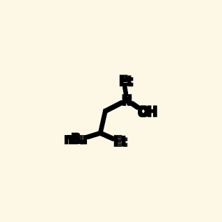 CCCCC(CC)CN(O)CC